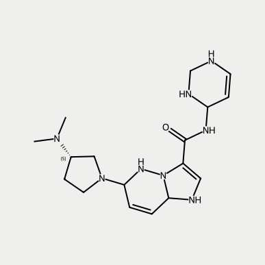 CN(C)[C@H]1CCN(C2C=CC3NC=C(C(=O)NC4C=CNCN4)N3N2)C1